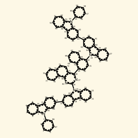 c1ccc(-n2c3ccccc3c3ccc(-c4ccc5c6ccccc6n(-c6nc(-c7ccc(-n8c9ccccc9c9ccc(-c%10ccc%11c%12ccccc%12n(-c%12ccccc%12)c%11c%10)cc98)c8ccccc78)c7ccc8ccccc8c7n6)c5c4)cc32)cc1